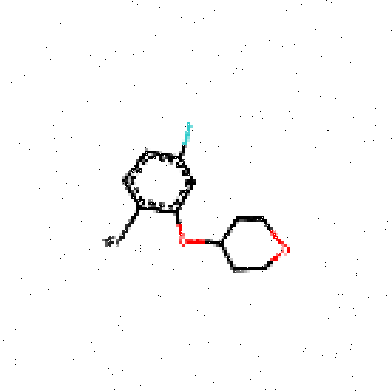 CCCc1ccc(F)cc1OC1CCOCC1